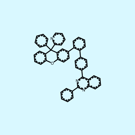 c1ccc(-c2nc(-c3ccc(-c4ccccc4-c4ccc5c(c4)C(c4ccccc4)(c4ccccn4)c4ccccc4O5)cc3)c3ccccc3n2)cc1